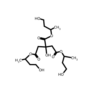 CC(CCO)OC(=O)CC(O)(CC(=O)OC(C)CCO)C(=O)OC(C)CCO